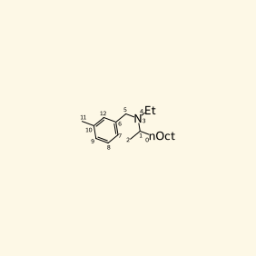 CCCCCCCCC(C)N(CC)Cc1cccc(C)c1